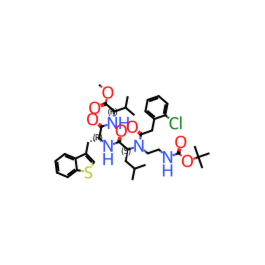 COC(=O)[C@H](NC(=O)[C@@H](Cc1csc2ccccc12)NC(=O)[C@H](CC(C)C)N(CCNC(=O)OC(C)(C)C)C(=O)Cc1ccccc1Cl)C(C)C